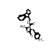 CC1OC(=O)[C@H](Cc2ccc(C(F)(F)F)cc2)N1C(=O)OCC1c2ccccc2-c2ccccc21